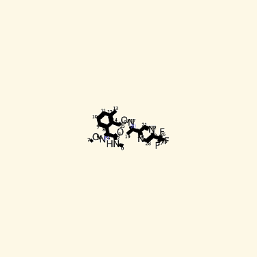 CNC(=O)/C(=N/OC)c1cccc(C)c1CO/N=C(\C)c1cnc(C(F)(F)F)cn1